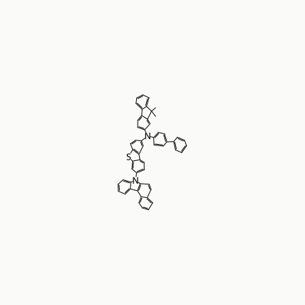 CC1(C)c2ccccc2-c2ccc(N(c3ccc(-c4ccccc4)cc3)c3ccc4sc5cc(-n6c7ccccc7c7c8ccccc8ccc76)ccc5c4c3)cc21